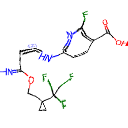 N=C(/C=C\Nc1ccc(C(=O)O)c(F)n1)OCC1(C(F)(F)F)CC1